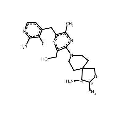 Cc1nc(N2CCC3(CC2)CO[C@@H](C)[C@H]3N)c(CO)nc1Cc1ccnc(N)c1Cl